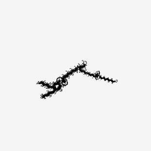 CCCCCCCCCOC(=O)CCCCCCCN(CCC)CCCCCCCC(=O)Oc1ccc(CCCCC)c(CCCCC)c1